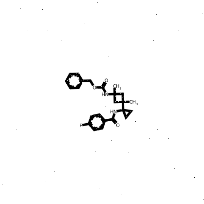 CC1(NC(=O)OCc2ccccc2)CC(C)(C2(NC(=O)c3ccc(F)cc3)CC2)C1